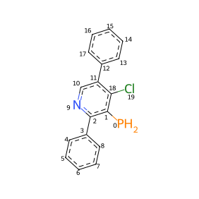 Pc1c(-c2ccccc2)ncc(-c2ccccc2)c1Cl